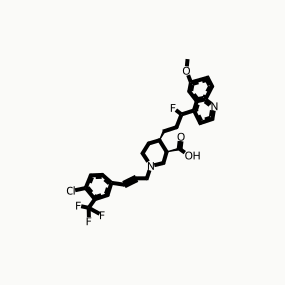 COc1ccc2nccc(C(F)CC[C@@H]3CCN(CC#Cc4ccc(Cl)c(C(F)(F)F)c4)C[C@@H]3C(=O)O)c2c1